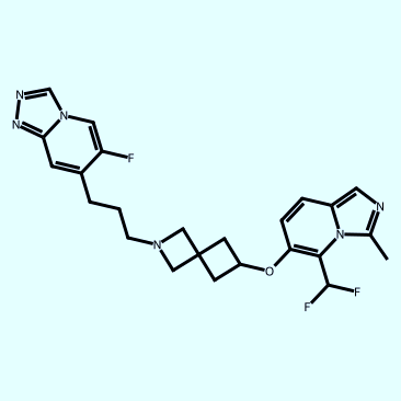 Cc1ncc2ccc(OC3CC4(C3)CN(CCCc3cc5nncn5cc3F)C4)c(C(F)F)n12